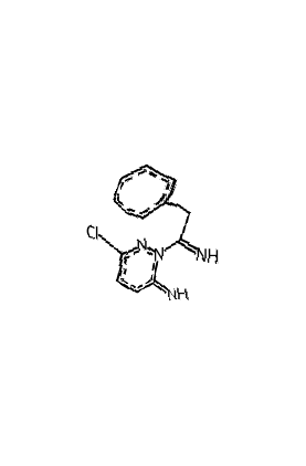 N=C(Cc1ccccc1)n1nc(Cl)ccc1=N